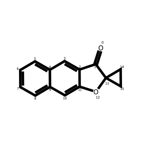 O=C1c2cc3ccccc3cc2OC12CC2